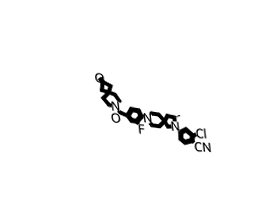 C[C@H]1CC2(CCN(c3ccc(C(=O)N4CCC5(CC4)CC(=O)C5)cc3F)CC2)CN1c1ccc(C#N)c(Cl)c1